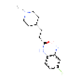 CC(=O)N1CCC(CCC(=O)Nc2ccc(F)cc2N)CC1